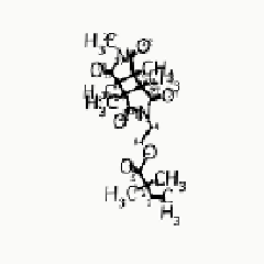 CCC(C)(C)C(=O)OCCN1C(=O)C2(C)C3(C)C(=O)N(C)C(=O)C3(C)C2(C)C1=O